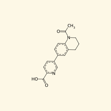 CC(=O)N1CCCc2cc(-c3ccc(C(=O)O)nc3)ccc21